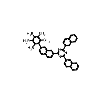 Bc1c(B)c(B)c(-c2ccc3ccc(-c4nc(-c5ccc6ccccc6c5)nc(-c5ccc6ccccc6c5)n4)cc3c2)c(B)c1B